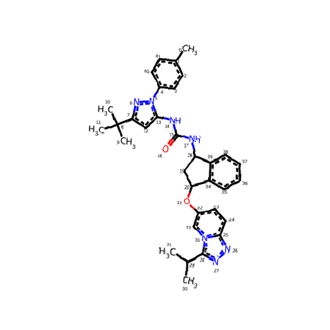 Cc1ccc(-n2nc(C(C)(C)C)cc2NC(=O)NC2CC(Oc3ccc4nnc(C(C)C)n4c3)c3ccccc32)cc1